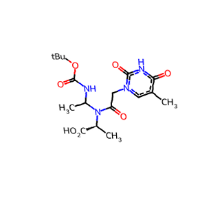 Cc1cn(CC(=O)N(C(C)NC(=O)OC(C)(C)C)[C@@H](C)C(=O)O)c(=O)[nH]c1=O